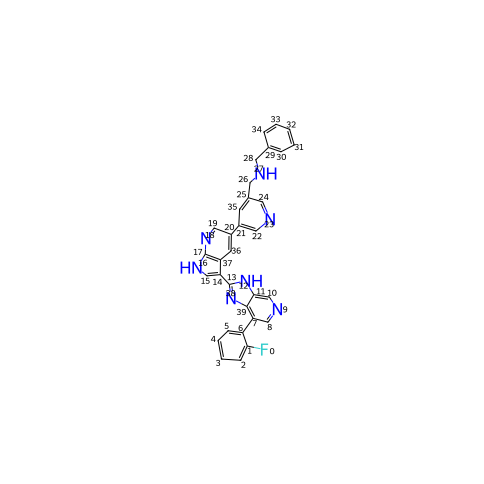 Fc1ccccc1-c1cncc2[nH]c(-c3c[nH]c4ncc(-c5cncc(CNCc6ccccc6)c5)cc34)nc12